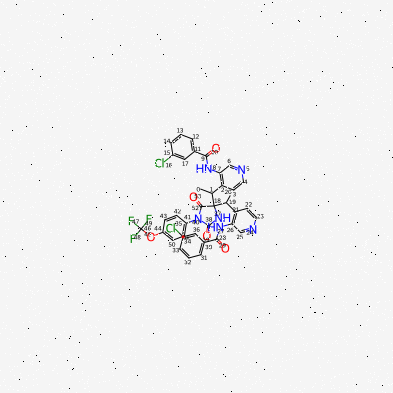 CC(c1ccncc1NC(=O)c1cccc(Cl)c1)C1(C(C)c2ccncc2NC(=O)c2cccc(Cl)c2)NC(=O)N(c2ccc(OC(F)(F)F)cc2)C1=O